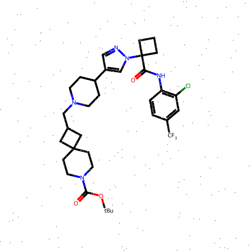 CC(C)(C)OC(=O)N1CCC2(CC1)CC(CN1CCC(c3cnn(C4(C(=O)Nc5ccc(C(F)(F)F)cc5Cl)CCC4)c3)CC1)C2